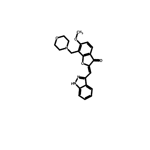 COc1ccc2c(c1CN1CCOCC1)O/C(=C\c1n[nH]c3ccccc13)C2=O